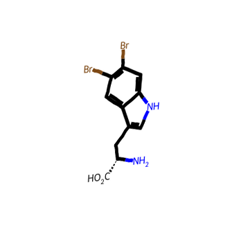 N[C@@H](Cc1c[nH]c2cc(Br)c(Br)cc12)C(=O)O